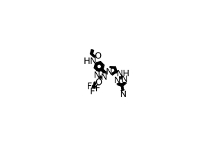 C=CC(=O)Nc1ccc2c(N3CCC(Nc4ncc(C#N)cn4)C3)nc(OCC(F)(F)F)nc2c1